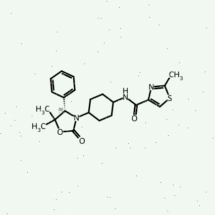 Cc1nc(C(=O)NC2CCC(N3C(=O)OC(C)(C)[C@@H]3c3ccccc3)CC2)cs1